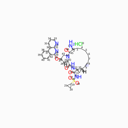 Cl.N[C@H]1CCCCC/C=C\[C@@H]2C[C@@]2(C(=O)NS(=O)(=O)C2CC2)NC(=O)[C@@H]2C[C@@H](Oc3nc4ncccc4c4ccccc34)CN2C1=O